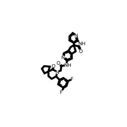 O=C(CN1C(=O)C2(CCCC2)CCC1c1cc(F)cc(F)c1)Nc1cc2c(cn1)CC1(C2)C(=O)Nc2ncccc21